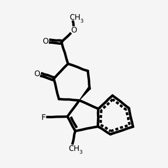 COC(=O)C1CC[C@]2(CC1=O)C(F)=C(C)c1ccccc12